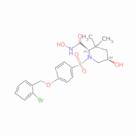 CC1(C)C[C@@H](O)CN(S(=O)(=O)c2ccc(OCc3ccccc3Br)cc2)[C@H]1C(=O)NO